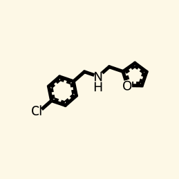 Clc1ccc(CNCc2ccco2)cc1